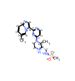 C[C@H]1[C@H](CNS(C)(=O)=O)NCCN1c1ccnc(-c2cnc3ccc(C(F)(F)F)cn23)n1